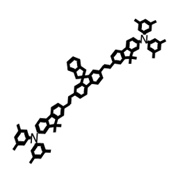 Cc1cc(C)cc(N(c2cc(C)cc(C)c2)c2ccc3c(c2)C(C)(C)c2cc(/C=C/c4ccc5c(c4)C4(Cc6ccccc6C4)c4cc(/C=C/c6ccc7c(c6)C(C)(C)c6cc(N(c8cc(C)cc(C)c8)c8cc(C)cc(C)c8)ccc6-7)ccc4-5)ccc2-3)c1